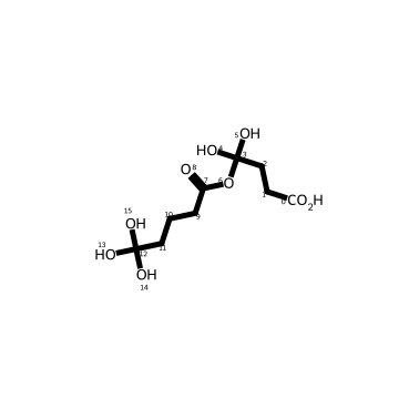 O=C(O)CCC(O)(O)OC(=O)CCCC(O)(O)O